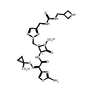 Nc1nc(/C(=N/OC2(C(=O)O)CC2)C(=O)N[C@@H]2C(=O)N(S(=O)(=O)O)[C@@H]2Cn2ncc(CNC(=O)NCC3CNC3)n2)cs1